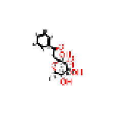 C[C@@H]1O[C@@](O)(CC(=O)c2ccccc2)[C@@H](O)[C@H](O)[C@@H]1O